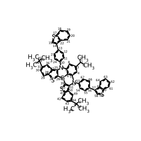 CC(C)c1cc2c3c(c1)N(c1ccc(-c4csc5ccccc45)cc1)c1c(sc4ccc(C(C)(C)C)cc14)B3c1sc3ccc(C(C)(C)C)cc3c1N2c1ccc(-c2csc3ccccc23)cc1